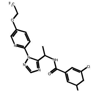 CC(NC(=O)C1=CC(C(F)(F)F)CC(Cl)=C1)c1ncnn1-c1ccc(OCC(F)(F)F)cn1